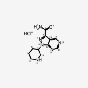 Cl.NC(=O)c1nn(C2CCCNC2)c2ncncc12